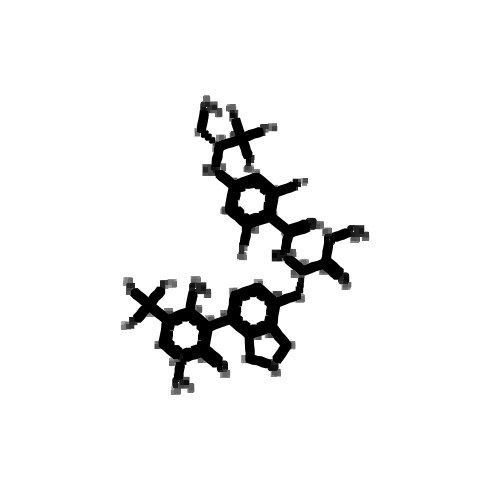 CC[C@@H](Nc1cc(F)c(C(=O)N[C@@H](Cc2ccc(-c3c(C)c(C(F)(F)F)cn(C)c3=O)c3c2COC3)C(=O)OC)c(F)c1)C(F)(F)F